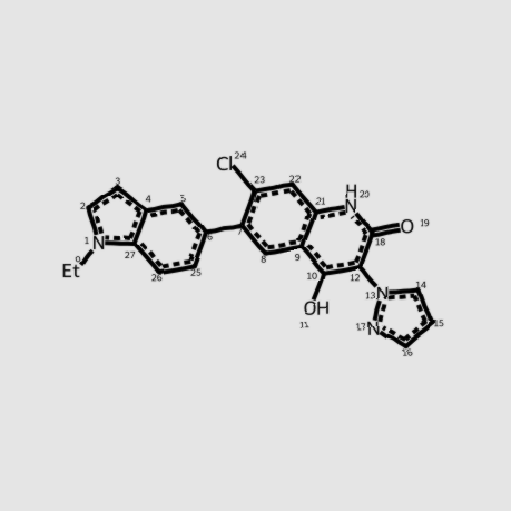 CCn1ccc2cc(-c3cc4c(O)c(-n5cccn5)c(=O)[nH]c4cc3Cl)ccc21